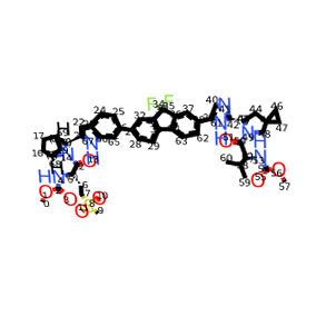 COC(=O)N[C@@H](CCS(C)(=O)=O)C(=O)N1[C@@H]2CC[C@@H](C2)[C@H]1c1cc2ccc(-c3ccc4c(c3)C(F)(F)c3cc(-c5cnc([C@@H]6CC7(CC7)CN6C(=O)[C@@H](NC(=O)OC)C(C)C)[nH]5)ccc3-4)cc2[nH]1